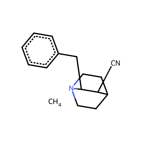 C.N#CC1C2CCN(CC2)C1Cc1ccccc1